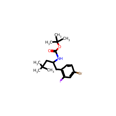 CC(C)(C)CC(Cc1ccc(Br)cc1I)NC(=O)OC(C)(C)C